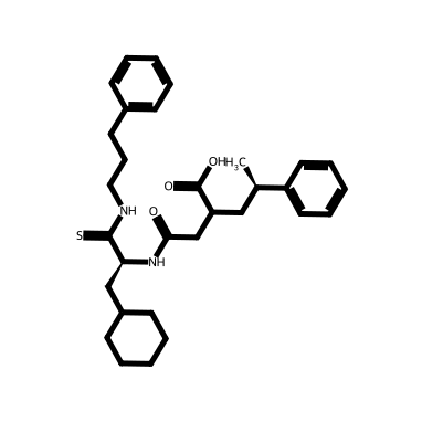 C[C@H](CC(CC(=O)N[C@@H](CC1CCCCC1)C(=S)NCCCc1ccccc1)C(=O)O)c1ccccc1